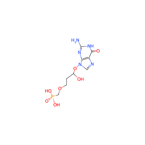 Nc1nc2c(ncn2OC(O)CCOCP(=O)(O)O)c(=O)[nH]1